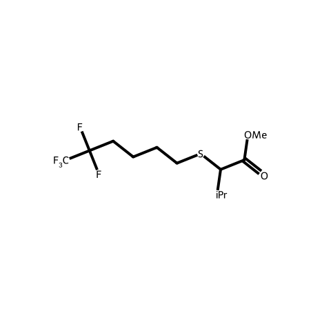 COC(=O)C(SCCCCC(F)(F)C(F)(F)F)C(C)C